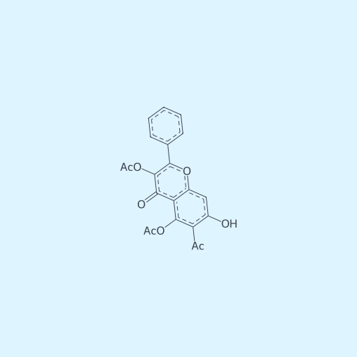 CC(=O)Oc1c(-c2ccccc2)oc2cc(O)c(C(C)=O)c(OC(C)=O)c2c1=O